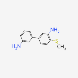 CSc1ccc(-c2cccc(N)c2)cc1N